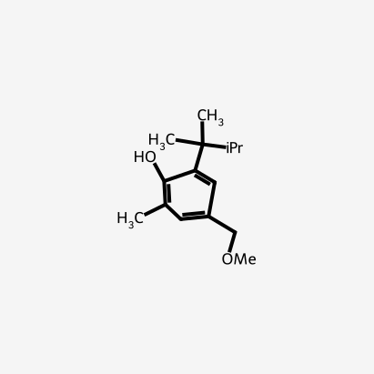 COCc1cc(C)c(O)c(C(C)(C)C(C)C)c1